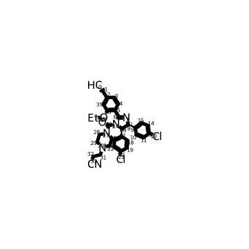 C#Cc1ccc(C2=N[C@@H](c3ccc(Cl)cc3)[C@@H](c3ccc(Cl)cc3)N2C(=O)N2CCN(CCC#N)CC2)c(OCC)c1